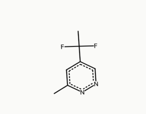 Cc1cc(C(C)(F)F)cnn1